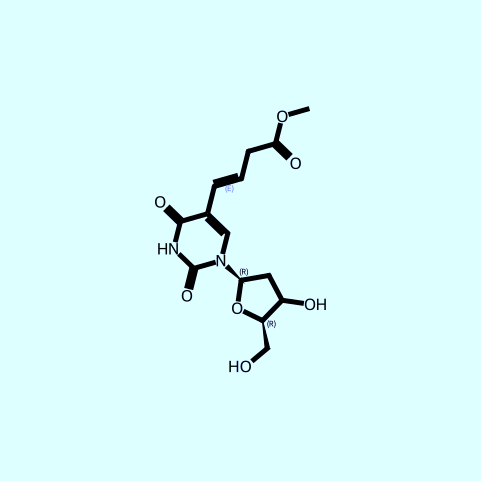 COC(=O)C/C=C/c1cn([C@H]2CC(O)[C@@H](CO)O2)c(=O)[nH]c1=O